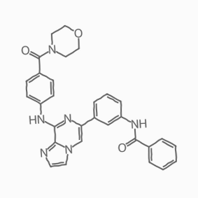 O=C(Nc1cccc(-c2cn3ccnc3c(Nc3ccc(C(=O)N4CCOCC4)cc3)n2)c1)c1ccccc1